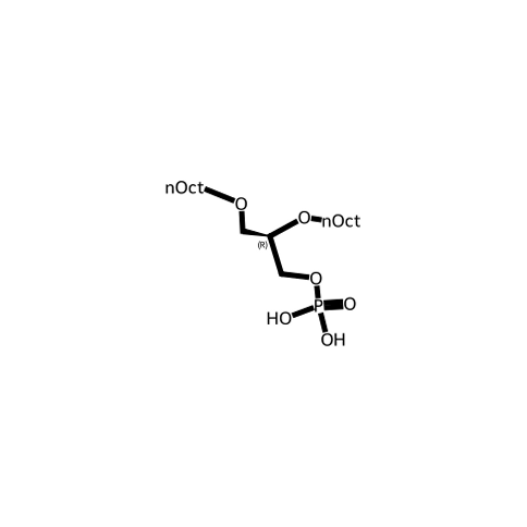 CCCCCCCCOC[C@H](COP(=O)(O)O)OCCCCCCCC